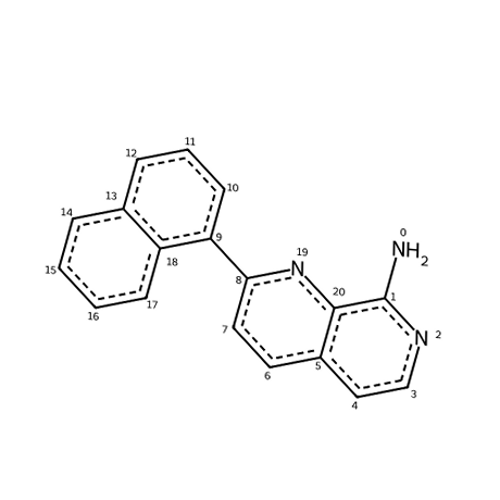 Nc1nccc2ccc(-c3cccc4ccccc34)nc12